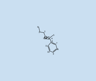 CCCO[SiH](C)c1ccccc1